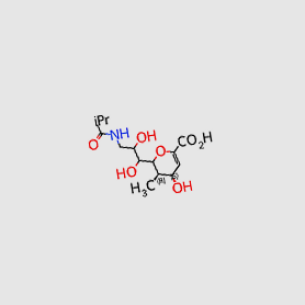 CC(C)C(=O)NCC(O)C(O)C1OC(C(=O)O)=C[C@@H](O)[C@H]1C